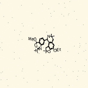 CCOc1cc2c(c3c1OC(C)(C)C3)C(c1ccc(C(=O)OC)c(N=CN(C)C)c1)=NC(C)(C)C2